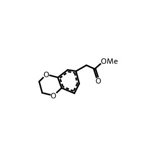 COC(=O)Cc1ccc2c(c1)OCCO2